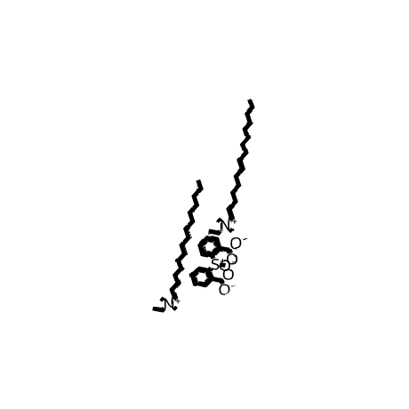 CCCCCCCCCCCCCCCC[N+](C)(C)CC.CCCCCCCCCCCCCCCC[N+](C)(C)CC.O=C([O-])c1ccccc1[S+]([O-])c1ccccc1C(=O)[O-]